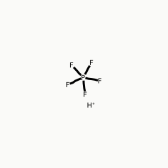 FP(F)(F)(F)F.[H+]